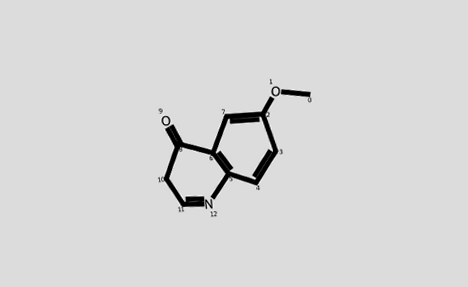 COc1ccc2c(c1)C(=O)CC=N2